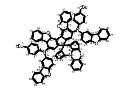 CC(C)(C)c1ccc(N(C2=CC3=C(c4c(cc(N(c5ccc(C(C)(C)C)cc5)c5ccc6oc7ccccc7c6c5)c5c4oc4ccccc45)C34c3ccccc3N3c5ccccc5Oc5cccc4c53)C3Oc4ccccc4C23)c2ccc3oc4ccccc4c3c2)cc1